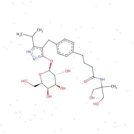 CC(C)c1[nH]nc(O[C@@H]2O[C@H](CO)[C@H](O)[C@H](O)[C@H]2O)c1Cc1ccc(CCCC(=O)NC(C)(CO)CO)cc1